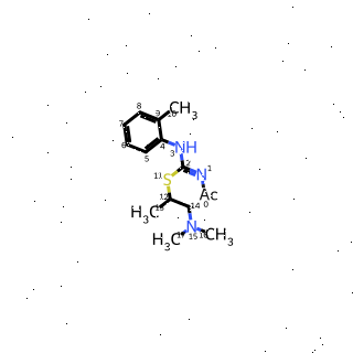 CC(=O)/N=C(/Nc1ccccc1C)SC(C)CN(C)C